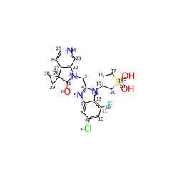 O=C1N(Cc2nc3cc(Cl)cc(F)c3n2C2CCS(O)(O)C2)c2cnccc2C12CC2